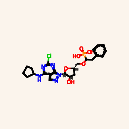 O=P(O)(O)C(Cc1ccccc1)OC[C@@H]1C[C@@H](O)[C@H](n2ncc3c(NC4CCCC4)nc(Cl)nc32)O1